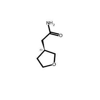 NC(=O)C[C@@H]1CCOC1